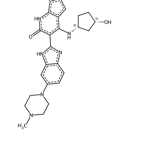 CN1CCN(c2ccc3nc(-c4c(N[C@@H]5CC[C@H](O)C5)c5ccsc5[nH]c4=O)[nH]c3c2)CC1